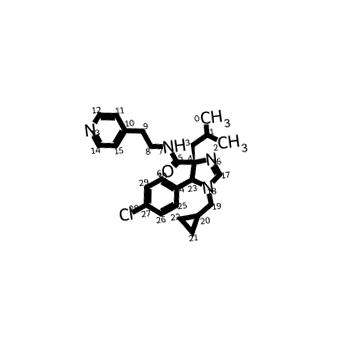 CC(C)C[C@@]1(C(=O)NCCc2ccncc2)N=CN(CC2CC2)C1c1ccc(Cl)cc1